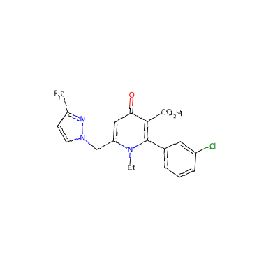 CCn1c(Cn2ccc(C(F)(F)F)n2)cc(=O)c(C(=O)O)c1-c1cccc(Cl)c1